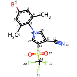 Cc1cc(Br)cc(C)c1-n1cc(C#N)c(S(=O)(=O)C(F)(F)F)c1